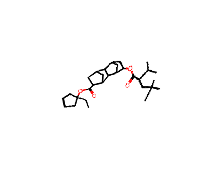 CCC1(OC(=O)C2CC3CC2C2C4CC(CC4OC(=O)C(CC(C)(C)C)C(C)C)C32)CCCC1